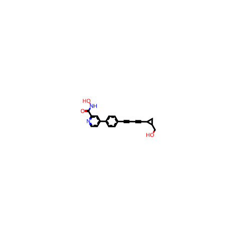 O=C(NO)c1cc(-c2ccc(C#CC#CC3CC3CO)cc2)ccn1